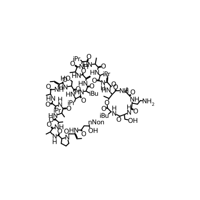 C=C(NC(=O)C(NC(=O)C(NC(=O)C(CO)NC(=O)/C(=C/C)NC(=O)C(C)NC(=O)C(NC(=O)C(C)NC(=O)C(C)NC(=O)C(C)NC(=O)C1CCCN1C(=O)/C(=C/C)NC(=O)CC(O)CCCCCCCCC)C(C)C)C(C)C)C(C)CC)C(=O)NC(C)C(=O)NC(C(=O)NC(C)C(=O)NC(C(=O)N/C(=C\C)C(=O)NC1C(=O)NC(C)C(=O)NC(CCN)C(=O)NC(CO)C(=O)NC(C(C)CC)C(=O)OC1C)C(C)C)C(C)C